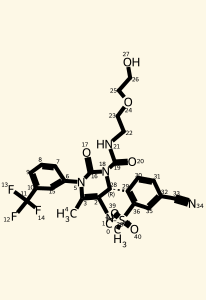 [C-]#[N+]C1=C(C)N(c2cccc(C(F)(F)F)c2)C(=O)N(C(=O)NCCOCCO)[C@@H]1c1ccc(C#N)cc1S(C)(=O)=O